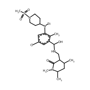 CCN(c1cc(Cl)cc(C(O)NCC2C(=O)N(C)C(C)CC2C)c1C)C1CCN(S(C)(=O)=O)CC1